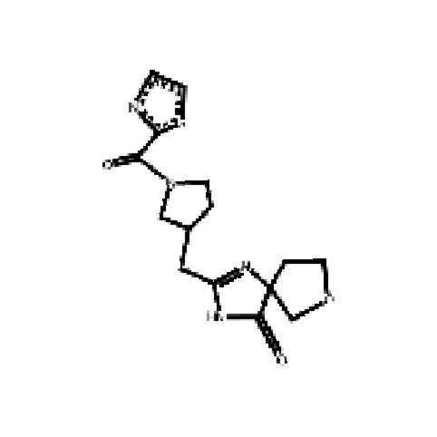 O=C(c1nccs1)N1CCC(CC2=NC3(CCOC3)C(=O)N2)C1